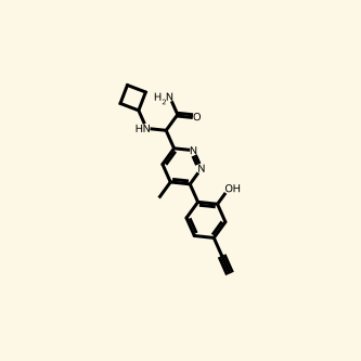 C#Cc1ccc(-c2nnc(C(NC3CCC3)C(N)=O)cc2C)c(O)c1